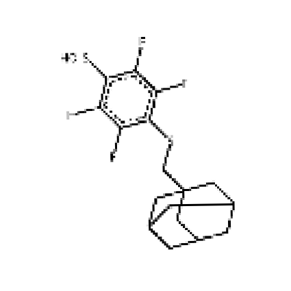 O=S(=O)(O)c1c(F)c(F)c(SCC23CC4CC(CC(C4)C2)C3)c(F)c1F